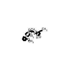 CCCc1cc(=O)[nH]c(SCC(C)(C)C(=O)N2CCN(c3ccccc3OC)CC2)n1